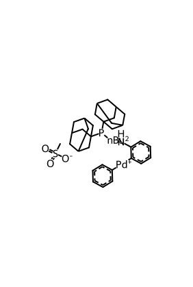 CCCCP(C12CC3CC(CC(C3)C1)C2)C12CC3CC(CC(C3)C1)C2.CS(=O)(=O)[O-].Nc1cccc[c]1[Pd+][c]1ccccc1